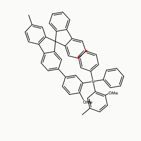 COc1ccc(C)cc1[Si](c1ccccc1)(c1ccccc1)c1cc(-c2ccc3c(c2)C2(c4ccccc4-c4ccccc42)c2cc(C)ccc2-3)ccc1OC